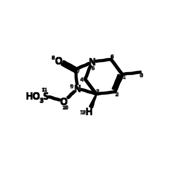 CC1=C[C@H]2CN(C1)C(=O)N2OS(=O)(=O)O